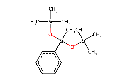 C[Si](C)(C)O[Si](C)(O[Si](C)(C)C)c1ccccc1